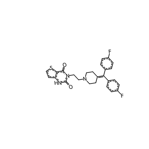 O=c1[nH]c2ccsc2c(=O)n1CCN1CCC(=C(c2ccc(F)cc2)c2ccc(F)cc2)CC1